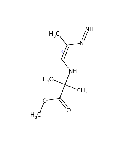 COC(=O)C(C)(C)N/C=C(/C)N=N